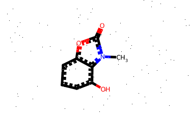 Cn1c(=O)oc2cccc(O)c21